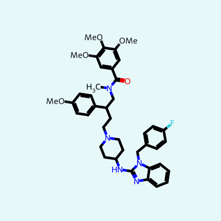 COc1ccc(C(CCN2CCC(Nc3nc4ccccc4n3Cc3ccc(F)cc3)CC2)CN(C)C(=O)c2cc(OC)c(OC)c(OC)c2)cc1